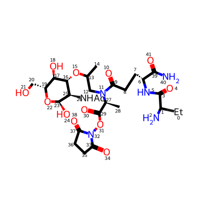 CCC(N)C(=O)N[C@H](CCC(=O)N(CC(C)O[C@H]1[C@H](O)[C@@H](CO)O[C@H](O)[C@@H]1NC(C)=O)[C@@H](C)C(=O)ON1C(=O)CCC1=O)C(N)=O